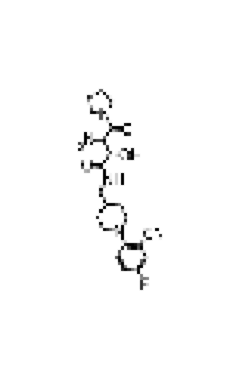 N#Cc1cc(F)ccc1N1CCC(CNC(=O)[C@H](O)[C@@H](N)C(=O)N2CCCC2)CC1